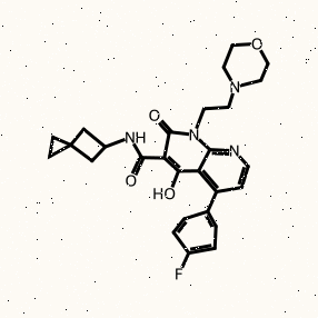 O=C(NC1CC2(CC2)C1)c1c(O)c2c(-c3ccc(F)cc3)ccnc2n(CCN2CCOCC2)c1=O